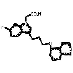 O=C(O)Cn1cc(CCCOc2cccc3ccccc23)c2ccc(Cl)cc21